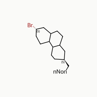 CCCCCCCCCC[C@H]1CCC2C(CCC3C[C@@H](Br)CCC32)C1